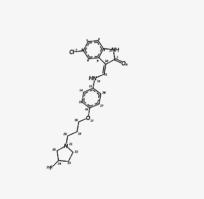 O=C1Nc2ccc(Cl)cc2/C1=C\Nc1ccc(OCCCN2CCC(F)C2)cc1